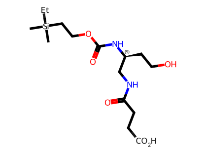 CC[Si](C)(C)CCOC(=O)N[C@@H](CCO)CNC(=O)CCC(=O)O